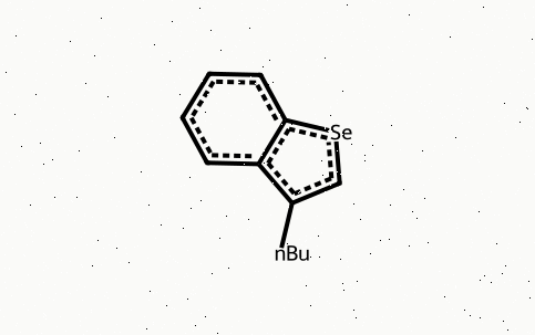 CCCCc1c[se]c2ccccc12